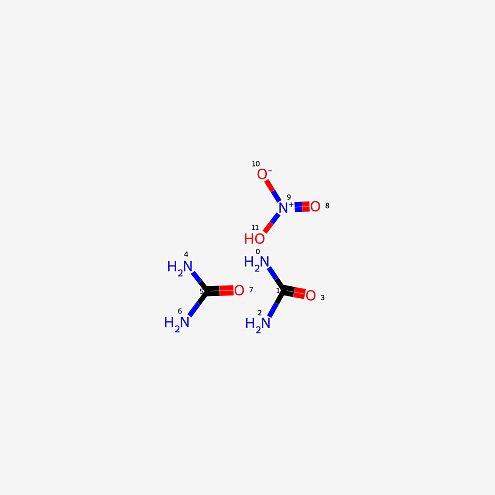 NC(N)=O.NC(N)=O.O=[N+]([O-])O